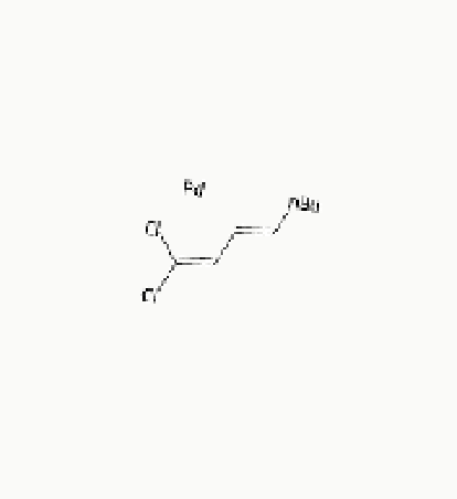 CCCCC=CC=C(Cl)Cl.[Pd]